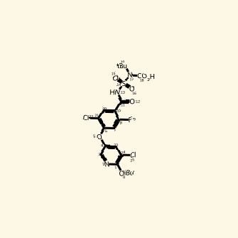 CC(C)COc1ncc(Oc2cc(F)c(C(=O)NS(=O)(=O)N(C(=O)O)C(C)(C)C)cc2Cl)cc1Cl